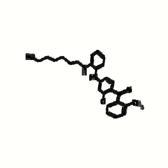 Cc1ccccc1C(=S)c1ccc(Nc2ccccc2NCCCCCCO)cc1Cl